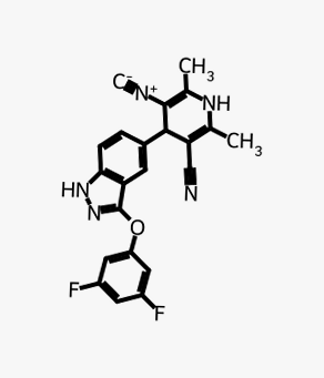 [C-]#[N+]C1=C(C)NC(C)=C(C#N)C1c1ccc2[nH]nc(Oc3cc(F)cc(F)c3)c2c1